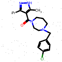 Cc1[nH]nc(C(C)C)c1C(=O)N1CCCN(Cc2ccc(Cl)cc2)CC1